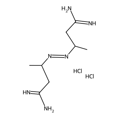 CC(CC(=N)N)/N=N/C(C)CC(=N)N.Cl.Cl